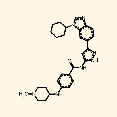 CN1CCC(Nc2ccc(C(=O)Nc3cc(-c4ccc5ncn(C6CCCCC6)c5c4)n[nH]3)cc2)CC1